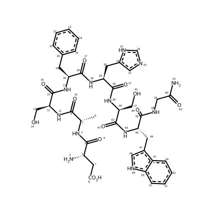 C[C@H](NC(=O)[C@@H](N)CC(=O)O)C(=O)N[C@@H](CO)C(=O)N[C@@H](Cc1ccccc1)C(=O)N[C@@H](Cc1cnc[nH]1)C(=O)N[C@@H](CO)C(=O)N[C@@H](Cc1c[nH]c2ccccc12)C(=O)NCC(N)=O